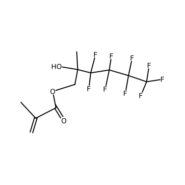 C=C(C)C(=O)OCC(C)(O)C(F)(F)C(F)(F)C(F)(F)C(F)(F)F